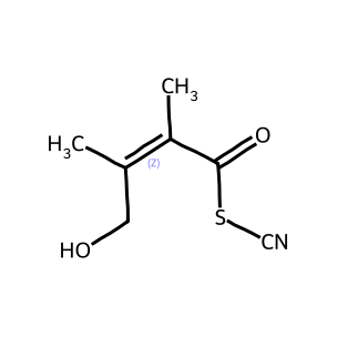 C/C(CO)=C(\C)C(=O)SC#N